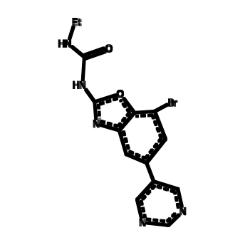 CCNC(=O)Nc1nc2cc(-c3cncnc3)cc(Br)c2o1